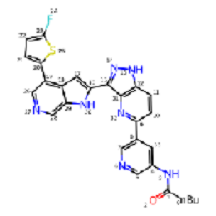 CCCCC(=O)Nc1cncc(-c2ccc3[nH]nc(-c4cc5c(-c6ccc(F)s6)cncc5[nH]4)c3n2)c1